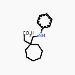 O=C(O)CC1(CNc2ccccc2)CCCCCC1